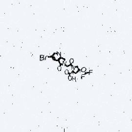 O=C(O)[C@@H]1C[C@@H](OC(F)F)CN1C(=O)CN1Cc2ncc(Br)cc2C1=O